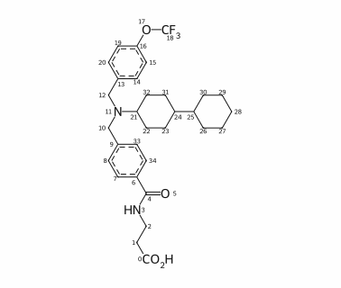 O=C(O)CCNC(=O)c1ccc(CN(Cc2ccc(OC(F)(F)F)cc2)C2CCC(C3CCCCC3)CC2)cc1